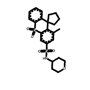 Cc1cc(S(=O)(=O)NC2CCOCC2)cc2c1C1(CCCC1)c1ccccc1S2(=O)=O